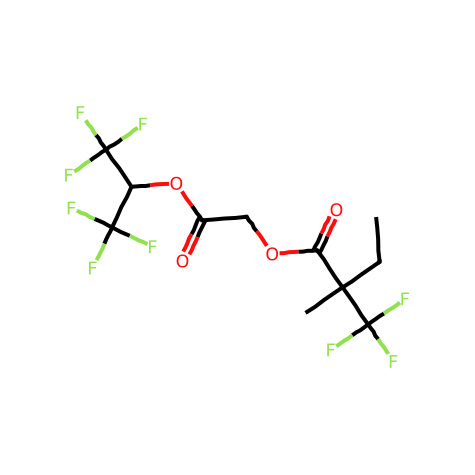 CCC(C)(C(=O)OCC(=O)OC(C(F)(F)F)C(F)(F)F)C(F)(F)F